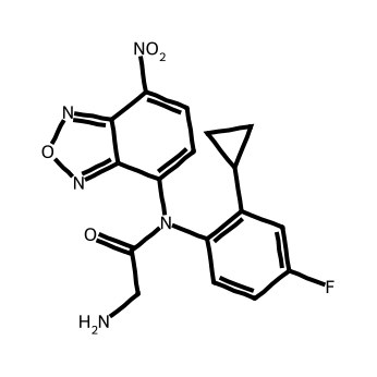 NCC(=O)N(c1ccc(F)cc1C1CC1)c1ccc([N+](=O)[O-])c2nonc12